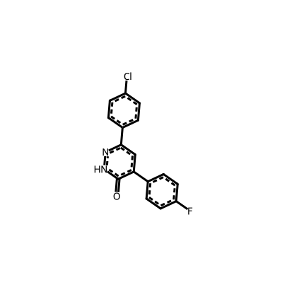 O=c1[nH]nc(-c2ccc(Cl)cc2)cc1-c1ccc(F)cc1